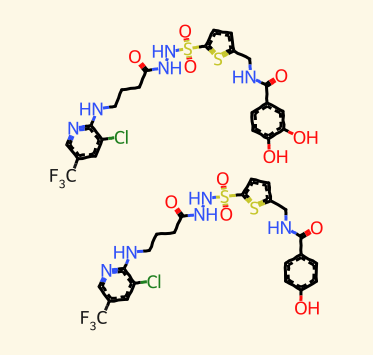 O=C(CCCNc1ncc(C(F)(F)F)cc1Cl)NNS(=O)(=O)c1ccc(CNC(=O)c2ccc(O)c(O)c2)s1.O=C(CCCNc1ncc(C(F)(F)F)cc1Cl)NNS(=O)(=O)c1ccc(CNC(=O)c2ccc(O)cc2)s1